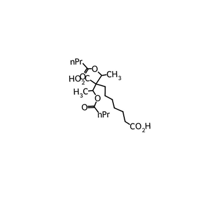 CCCC(=O)OC(C)C(CCCCCCC(=O)O)(C(=O)O)C(C)OC(=O)CCC